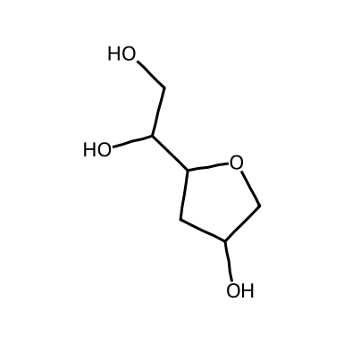 OCC(O)C1CC(O)CO1